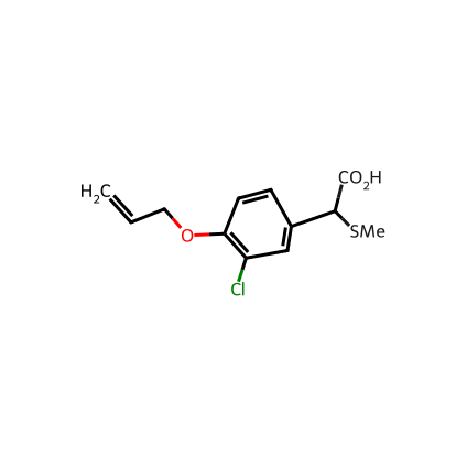 C=CCOc1ccc(C(SC)C(=O)O)cc1Cl